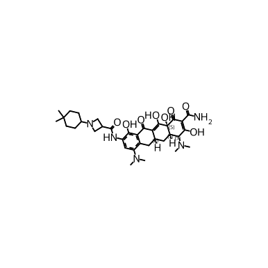 CN(C)c1cc(NC(=O)C2CN(C3CCC(C)(C)CC3)C2)c(O)c2c1C[C@H]1C[C@H]3[C@H](N(C)C)C(O)=C(C(N)=O)C(=O)[C@@]3(O)C(O)=C1C2=O